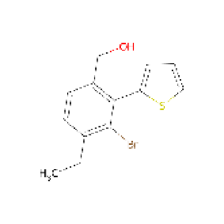 CCc1ccc(CO)c(-c2cccs2)c1Br